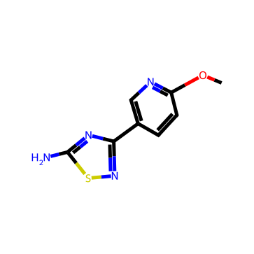 COc1ccc(-c2nsc(N)n2)cn1